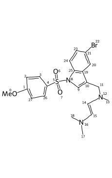 COc1ccc(S(=O)(=O)n2cc(CN(C)C=CN(C)C)c3cc(Br)ccc32)cc1